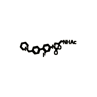 CC(=O)NCC1CN(c2ccc(-c3ccc(CN4CCCCC4)cc3)c(F)c2)C(=O)O1